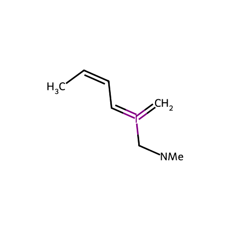 C=I(=C\C=C/C)/CNC